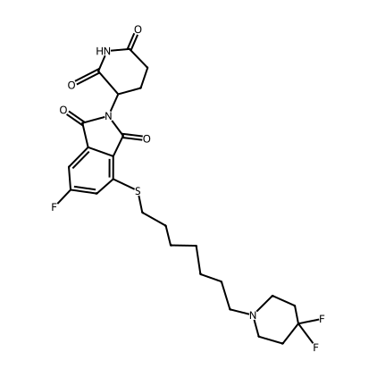 O=C1CCC(N2C(=O)c3cc(F)cc(SCCCCCCCN4CCC(F)(F)CC4)c3C2=O)C(=O)N1